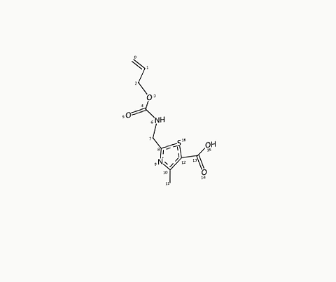 C=CCOC(=O)NCc1nc(C)c(C(=O)O)s1